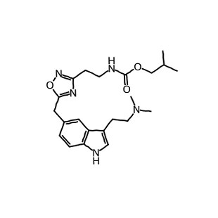 CC(C)COC(=O)NCCc1noc(Cc2ccc3[nH]cc(CCN(C)C)c3c2)n1